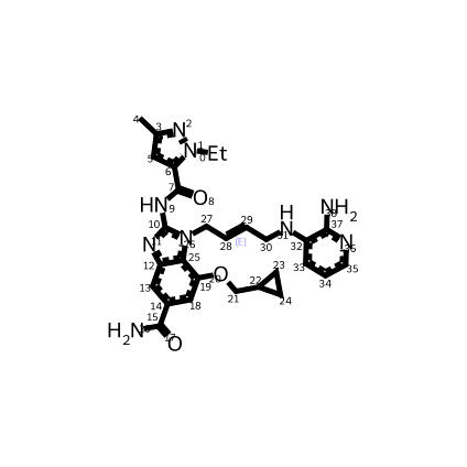 CCn1nc(C)cc1C(=O)Nc1nc2cc(C(N)=O)cc(OCC3CC3)c2n1C/C=C/CNc1cccnc1N